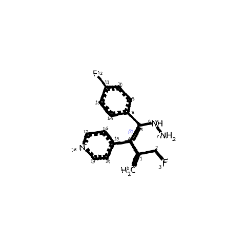 C=C(CF)/C(=C(\NN)c1ccc(F)cc1)c1ccncc1